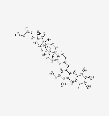 CC1O[C@@H](OC2[C@H](OC3CC[C@@]4(C)C(=CC[C@H]5[C@@H]6CC7OC(O)(CC[C@@H](C)CO)[C@@H](C)[C@@H]7[C@@]6(C)CC[C@@H]54)C3)OC(CO)[C@@H](O)[C@@H]2O)C(O)[C@@H](O)[C@H]1O